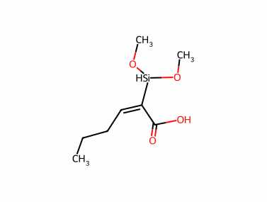 CCC/C=C(\C(=O)O)[SiH](OC)OC